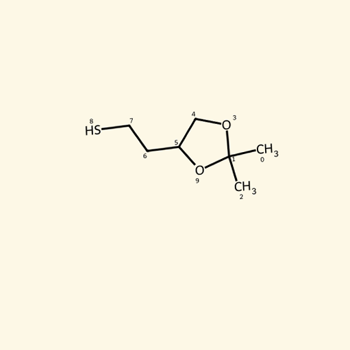 CC1(C)OCC(CCS)O1